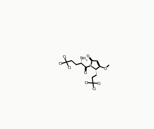 COC1=CC(=O)N(C(=O)[C@@H](N)CCC(Cl)(Cl)Cl)[C@H]1CCC(Cl)(Cl)Cl